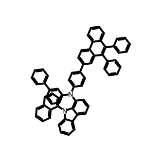 c1ccc(-c2cccc(N(c3ccc(-c4ccc5c(c4)c(-c4ccccc4)c(-c4ccccc4)c4ccccc45)cc3)c3cccc4c5ccccc5n(-c5cccc6ccccc56)c34)c2)cc1